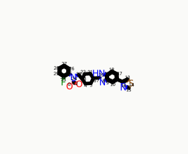 O=C1OC2(CCC(c3nc4cc(-c5cscn5)ccc4[nH]3)CC2)CN1c1ccccc1F